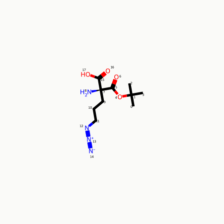 CC(C)(C)OC(=O)[C@](N)(CCCN=[N+]=[N-])C(=O)O